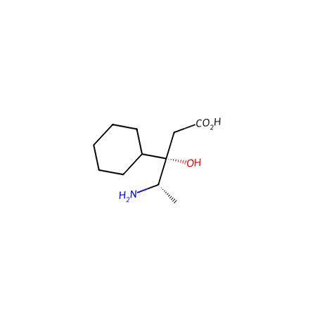 C[C@H](N)[C@](O)(CC(=O)O)C1CCCCC1